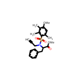 C#CCN(C(Cc1ccccc1)C(=O)OC)S(=O)(=O)c1c(C)cc(OC)c(C)c1C